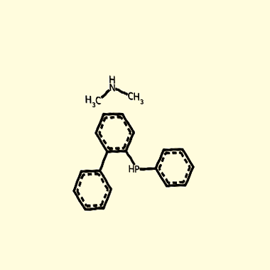 CNC.c1ccc(Pc2ccccc2-c2ccccc2)cc1